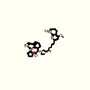 COc1cc(CCCC[C@@H](F)[C@@H]2CCN([C@H](C(=O)O)c3cccc4cnn(C5CCCC5)c34)C2)nc2c1CCCN2